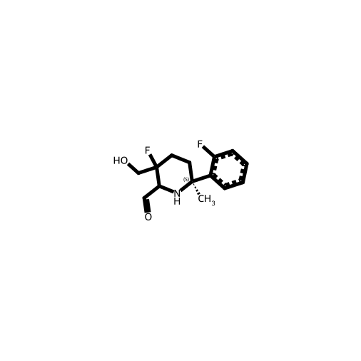 C[C@@]1(c2ccccc2F)CCC(F)(CO)C(C=O)N1